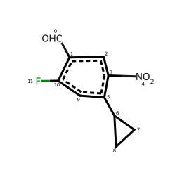 O=Cc1cc([N+](=O)[O-])c(C2CC2)cc1F